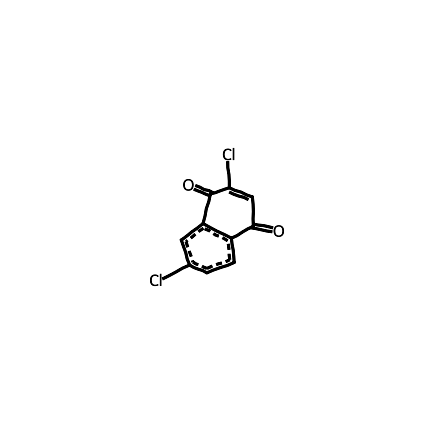 O=C1C=C(Cl)C(=O)c2cc(Cl)ccc21